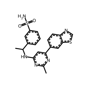 Cc1nc(NC(C)c2cccc(S(N)(=O)=O)c2)cc(-c2ccc3ncsc3c2)n1